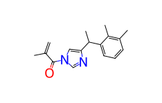 C=C(C)C(=O)n1cnc(C(C)c2cccc(C)c2C)c1